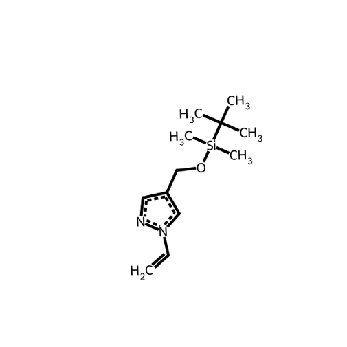 C=Cn1cc(CO[Si](C)(C)C(C)(C)C)cn1